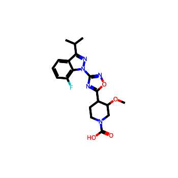 COC1CN(C(=O)O)CCC1c1nc(-n2nc(C(C)C)c3cccc(F)c32)no1